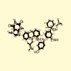 CC(=O)Nc1ccc(O)cc1.CC(CN1c2ccccc2Sc2ccccc21)N(C)C.COc1cccc([C@@]2(O)CCCC[C@@H]2CN(C)C)c1.Cn1c(=O)c2c(ncn2C)n(C)c1=O